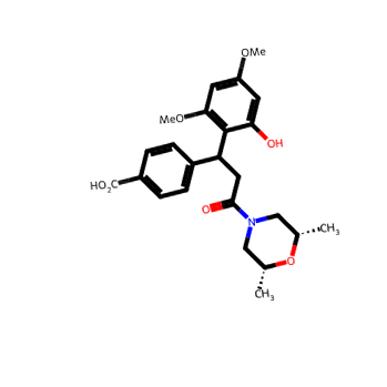 COc1cc(O)c(C(CC(=O)N2C[C@@H](C)O[C@@H](C)C2)c2ccc(C(=O)O)cc2)c(OC)c1